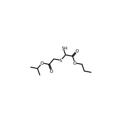 CCCOC(=O)C(S)SCC(=O)OC(C)C